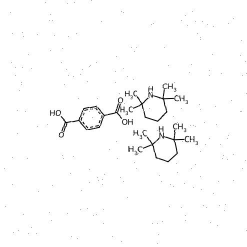 CC1(C)CCCC(C)(C)N1.CC1(C)CCCC(C)(C)N1.O=C(O)c1ccc(C(=O)O)cc1